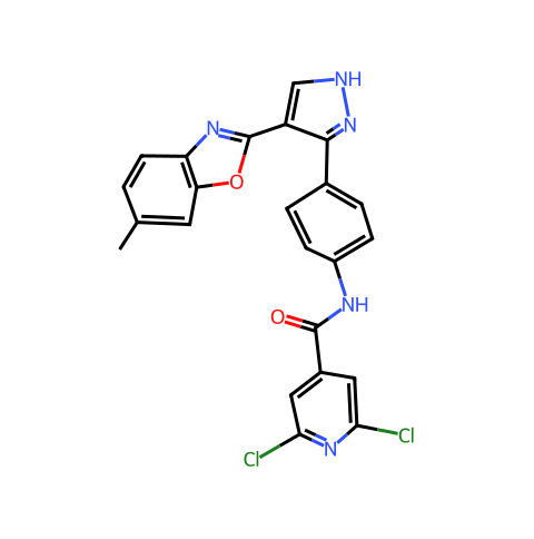 Cc1ccc2nc(-c3c[nH]nc3-c3ccc(NC(=O)c4cc(Cl)nc(Cl)c4)cc3)oc2c1